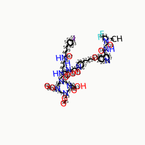 C#C[C@H]1CC(F)(F)CN1C(=O)CNC(=O)c1ccnc2ccc(OCCCCC3CCN(C(=O)CC(=O)NC(=O)[C@H](CCCCNC(=O)CCCc4ccc(I)cc4)NC(=O)CN4CCN(COC=O)CCN(COC=O)CCN(CC(=O)O)CC4)CC3)cc12